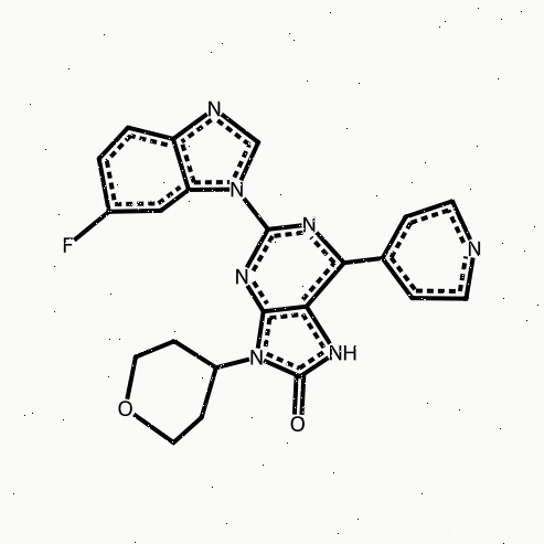 O=c1[nH]c2c(-c3ccncc3)nc(-n3cnc4ccc(F)cc43)nc2n1C1CCOCC1